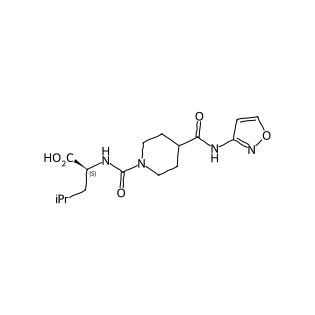 CC(C)C[C@H](NC(=O)N1CCC(C(=O)Nc2ccon2)CC1)C(=O)O